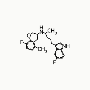 Cc1ccc(F)c2c1CC(NC(C)CCCc1c[nH]c3ccc(F)cc13)CO2